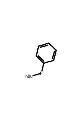 CCCC[P]c1ccccc1